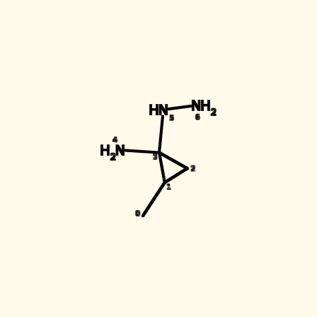 CC1CC1(N)NN